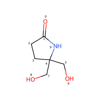 O=C1CCC(CO)(CO)N1